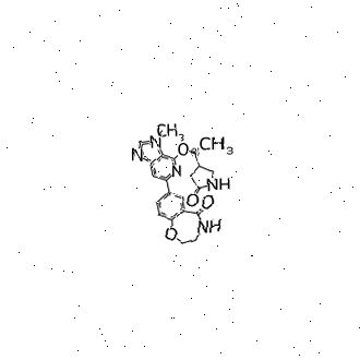 C[C@@H](Oc1nc(-c2ccc3c(c2)C(=O)NCCO3)cc2ncn(C)c12)C1CNC(=O)C1